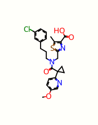 COc1ccc(C2(C(=O)N(CCCc3cccc(Cl)c3)Cc3nc(C(=O)O)c(C)s3)CC2)nc1